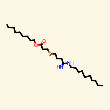 CCCCCCCCCCNC(=N)CCCSCCC(=O)OCCCCCCCCC